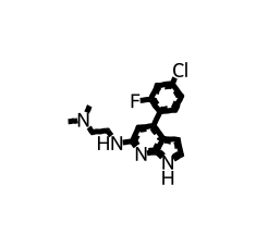 CN(C)CCNc1cc(-c2ccc(Cl)cc2F)c2cc[nH]c2n1